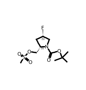 CC(C)(C)OC(=O)N1C[C@@H](F)C[C@H]1COS(C)(=O)=O